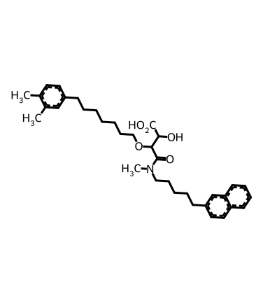 Cc1ccc(CCCCCCCOC(C(=O)N(C)CCCCCc2ccc3ccccc3c2)C(O)C(=O)O)cc1C